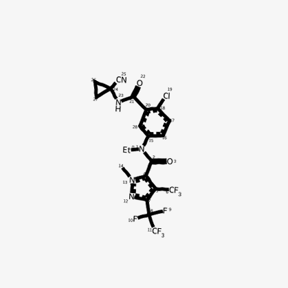 CCN(C(=O)c1c(C(F)(F)F)c(C(F)(F)C(F)(F)F)nn1C)c1ccc(Cl)c(C(=O)NC2(C#N)CC2)c1